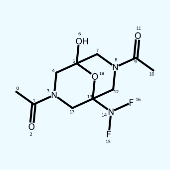 CC(=O)N1CC2(O)CN(C(C)=O)CC(N(F)F)(C1)O2